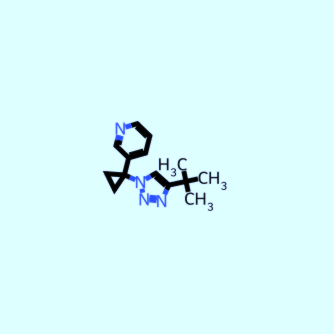 CC(C)(C)c1cn(C2(c3cccnc3)CC2)nn1